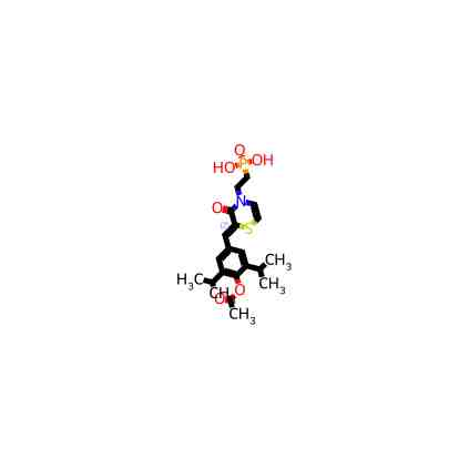 CC(=O)Oc1c(C(C)C)cc(/C=C2\SC=CN(CCP(=O)(O)O)C2=O)cc1C(C)C